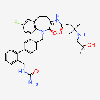 C[C@@H](O)CNC(C)(C)CC(=O)N[C@@H]1CCc2cc(F)ccc2N(Cc2ccc(-c3ccccc3CNC(N)=O)cc2)C1=O